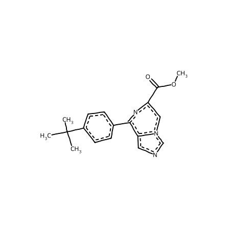 COC(=O)c1cn2cncc2c(-c2ccc(C(C)(C)C)cc2)n1